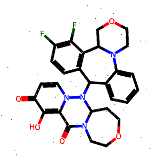 O=C1c2c(O)c(=O)ccn2N(C2c3ccccc3N3CCOCC3c3c2ccc(F)c3F)C2CCOCCN12